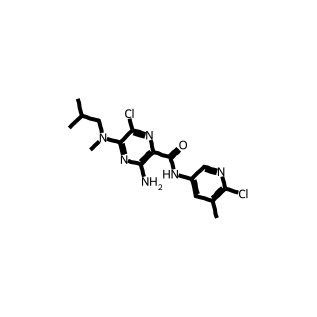 Cc1cc(NC(=O)c2nc(Cl)c(N(C)CC(C)C)nc2N)cnc1Cl